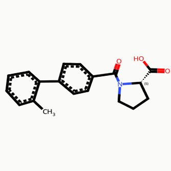 Cc1ccccc1-c1ccc(C(=O)N2CCC[C@H]2C(=O)O)cc1